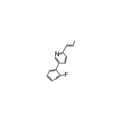 C/C=C/c1ccc(-c2ccccc2F)cn1